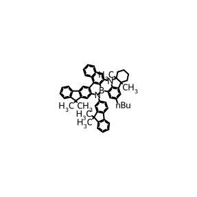 CCCCc1cc2c3c(c1)C1(C)CCCCC1(C)N3c1cc3ccccc3c3c1B2N(c1ccc2c(c1)C(C)(C)c1ccccc1-2)c1cc2c(cc1-3)-c1ccccc1C2(C)C